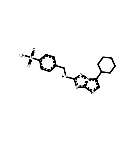 NS(=O)(=O)c1ccc(CNc2nn3c(C4CCCCC4)cnc3s2)cc1